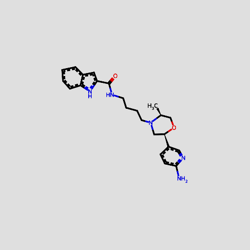 C[C@H]1CO[C@@H](c2ccc(N)nc2)CN1CCCCNC(=O)c1cc2ccccc2[nH]1